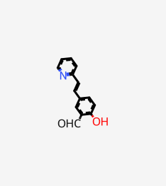 O=Cc1cc(/C=C/c2ccccn2)ccc1O